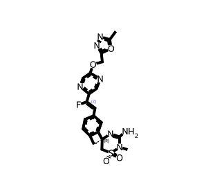 Cc1nnc(COc2cnc(/C(F)=C/c3ccc4c(c3)[C@]3(C4)CS(=O)(=O)N(C)C(N)=N3)cn2)o1